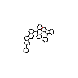 C1=CCCC(C2=Nc3c(ccc4c3ccc3c(N(c5ccccc5)c5ccccc5-c5cccc6c7ccccc7n(-c7ccccc7)c56)cccc34)C2)=C1